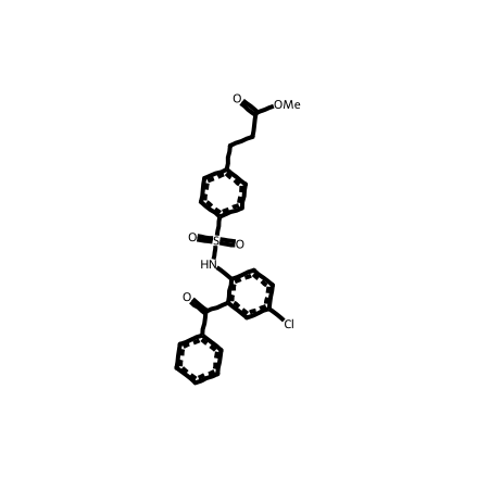 COC(=O)CCc1ccc(S(=O)(=O)Nc2ccc(Cl)cc2C(=O)c2ccccc2)cc1